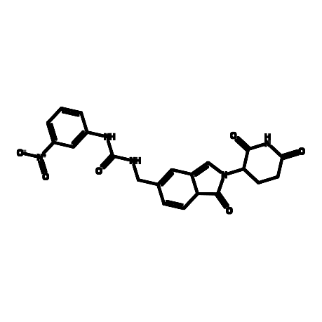 O=C1CCC(N2C=C3C=C(CNC(=O)Nc4cccc([N+](=O)[O-])c4)C=CC3C2=O)C(=O)N1